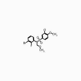 COCN(c1cccc(Br)c1F)S(=O)(=O)c1ccc(OC)c(Cl)c1